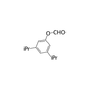 CC(C)c1cc(O[C]=O)cc(C(C)C)c1